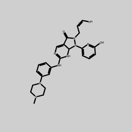 CCC/C=C\CN1C(=O)C2=CN=C(Nc3cccc(N4CCN(C)CC4)c3)NC2N1c1cccc(O)n1